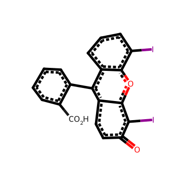 O=C(O)c1ccccc1-c1c2ccc(=O)c(I)c-2oc2c(I)cccc12